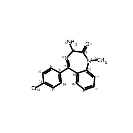 CN1C(=O)C(N)N=C(c2ccc(Cl)cc2)c2ccccc21